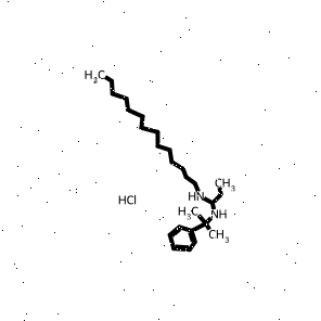 CCCCCCCCCCCCCCNC(CC)NC(C)(C)c1ccccc1.Cl